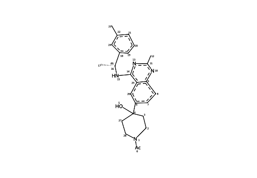 CC(=O)N1CCC(O)(c2ccc3nc(C)nc(N[C@H](C)c4cccc(C)c4)c3c2)CC1